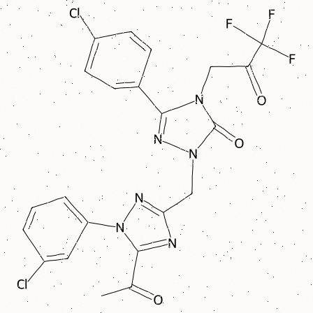 CC(=O)c1nc(Cn2nc(-c3ccc(Cl)cc3)n(CC(=O)C(F)(F)F)c2=O)nn1-c1cccc(Cl)c1